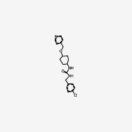 O=C(NCc1ccc(Cl)cc1)NC1CCC(OCc2ccncc2)CC1